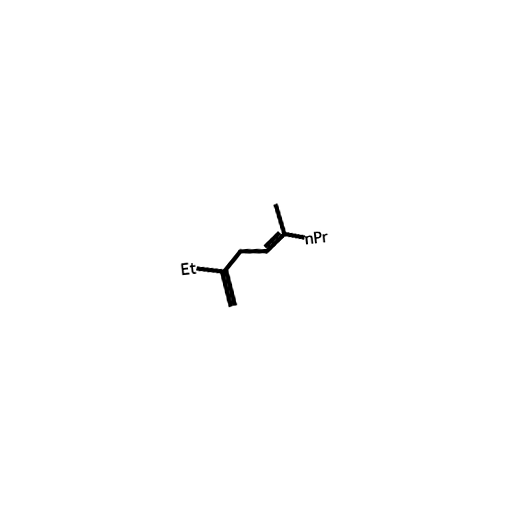 C=C(CC)CC=C(C)CCC